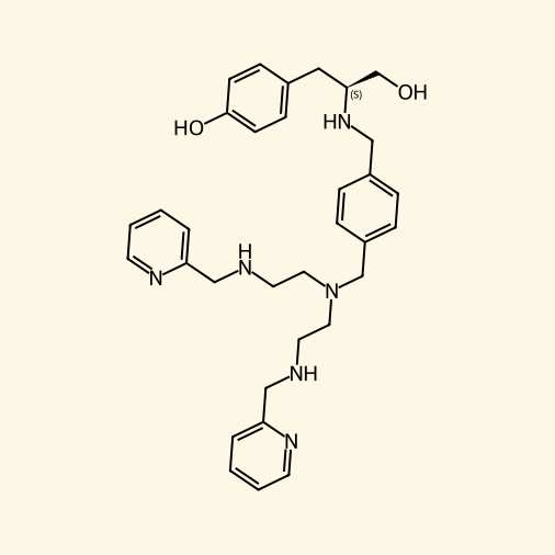 OC[C@H](Cc1ccc(O)cc1)NCc1ccc(CN(CCNCc2ccccn2)CCNCc2ccccn2)cc1